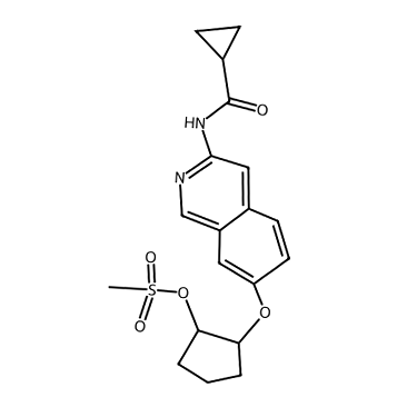 CS(=O)(=O)OC1CCCC1Oc1ccc2cc(NC(=O)C3CC3)ncc2c1